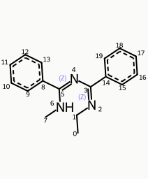 CC/N=C(\N=C(/NC)c1ccccc1)c1ccccc1